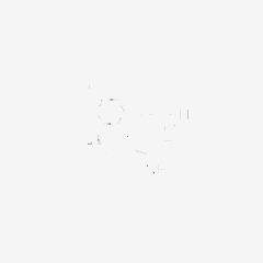 CC1(C(=O)O)CC(N)=CC(C(=O)O)(c2c(Cl)cc(C(F)(F)F)cc2Cl)C1